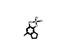 CC(C)[Si](Oc1c(F)cc(I)c2c1CCC2)(C(C)C)C(C)C